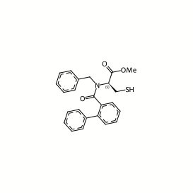 COC(=O)[C@@H](CS)N(Cc1ccccc1)C(=O)c1ccccc1-c1ccccc1